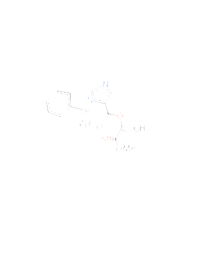 COC(=O)[C@@H](C)OC(=O)c1cncn1[C@H](C)c1ccccc1